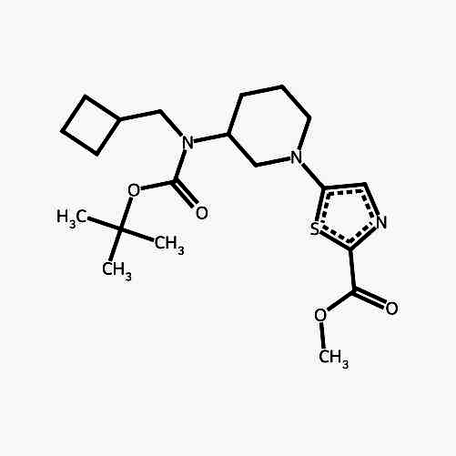 COC(=O)c1ncc(N2CCCC(N(CC3CCC3)C(=O)OC(C)(C)C)C2)s1